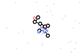 c1ccc(-c2nc(-c3ccccc3)nc(-c3cnccc3-n3c4ccccc4c4ccc(-c5cccc6oc7ccccc7c56)cc43)n2)cc1